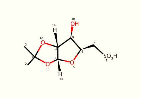 CC1(C)O[C@H]2O[C@H](CS(=O)(=O)O)[C@H](O)[C@H]2O1